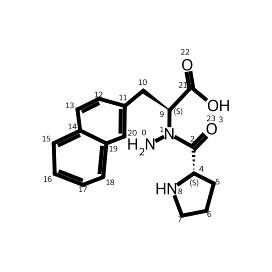 NN(C(=O)[C@@H]1CCCN1)[C@@H](Cc1ccc2ccccc2c1)C(=O)O